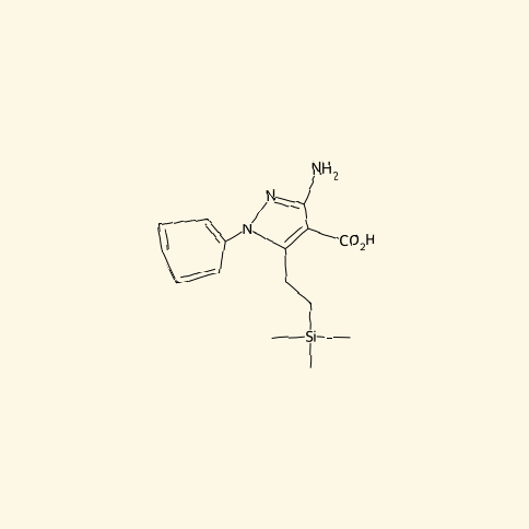 C[Si](C)(C)CCc1c(C(=O)O)c(N)nn1-c1ccccc1